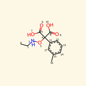 CCNOC(C(=O)O)(C(=O)O)c1cccc(C)c1